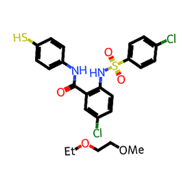 CCOCCOC.O=C(Nc1ccc(S)cc1)c1cc(Cl)ccc1NS(=O)(=O)c1ccc(Cl)cc1